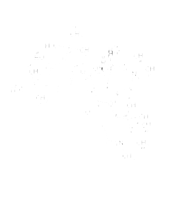 CN1CCC(OC(=O)C(Cc2cc(C(C)(C)C)c(O)c(C(C)(C)C)c2)(C(=O)O)C2CCN(C)C(C)(C)C2(C)C)C(C)(C)C1(C)C